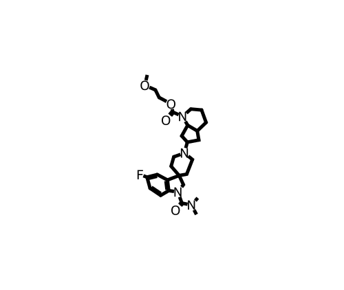 COCCOC(=O)N1CCCC2CC(N3CCC4(CC3)CN(C(=O)N(C)C)c3ccc(F)cc34)CC21